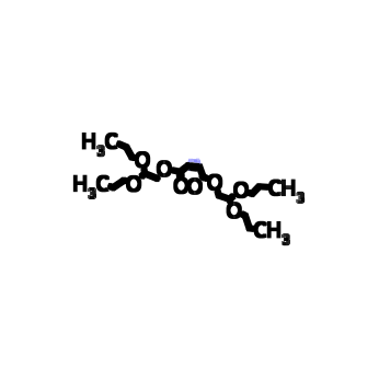 CCCOC(COC(=O)/C=C\C(=O)OCC(OCCC)OCCC)OCCC